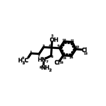 CCCCC(O)(CNN)c1ccc(Cl)cc1Cl